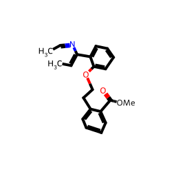 C/C=N\C(=C/C)c1ccccc1OCCc1ccccc1C(=O)OC